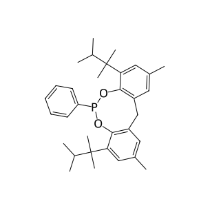 Cc1cc2c(c(C(C)(C)C(C)C)c1)OP(c1ccccc1)Oc1c(cc(C)cc1C(C)(C)C(C)C)C2